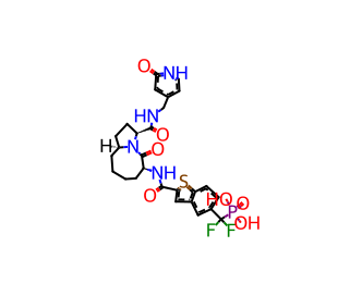 O=C(N[C@H]1CCCC[C@H]2CC[C@@H](C(=O)NCc3cc[nH]c(=O)c3)N2C1=O)c1cc2cc(C(F)(F)P(=O)(O)O)ccc2s1